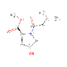 COC(=O)[C@@H]1C[C@@H](O)CN1C(=O)CC(C)C